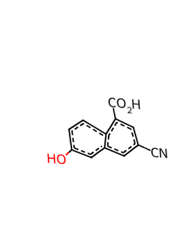 N#Cc1cc(C(=O)O)c2ccc(O)cc2c1